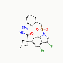 CC1CC(C(=O)NN)(c2cc(Br)c3c(F)cn(S(=O)(=O)Cc4ccccc4)c3c2)C1